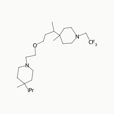 CC(C)C1(C)CCN(CCOCCC(C)C2(C)CCN(CC(F)(F)F)CC2)CC1